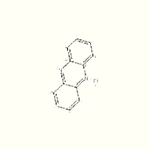 [Pt].c1ccc2nc3ccccc3nc2c1